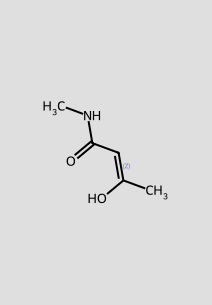 CNC(=O)/C=C(/C)O